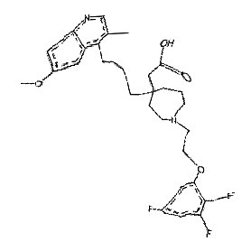 COc1ccc2ncc(C)c(CCCC3(CC(=O)O)CCN(CCOc4cc(F)cc(F)c4F)CC3)c2c1